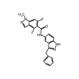 Cn1ncc2c(F)c(C(=O)Nc3ccc4[nH]nc(Cc5ccccc5)c4c3)c(F)cc21